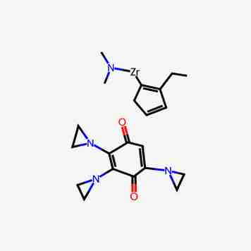 CCC1=[C]([Zr][N](C)C)CC=C1.O=C1C=C(N2CC2)C(=O)C(N2CC2)=C1N1CC1